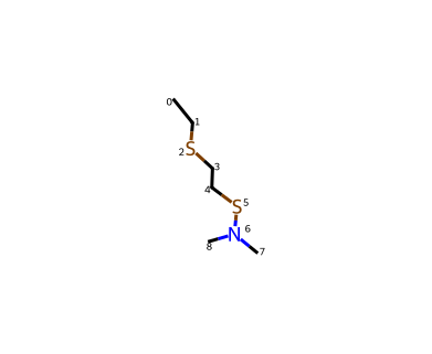 CCSCCSN(C)C